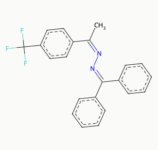 C/C(=N/N=C(c1ccccc1)c1ccccc1)c1ccc(C(F)(F)F)cc1